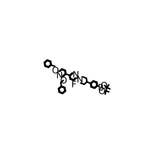 CC1(C)OB(c2ccc(C3CCN(c4ncc(-c5ccc(OCc6ccccc6)nc5OCc5ccccc5)cc4F)CC3)cc2)OC1(C)C